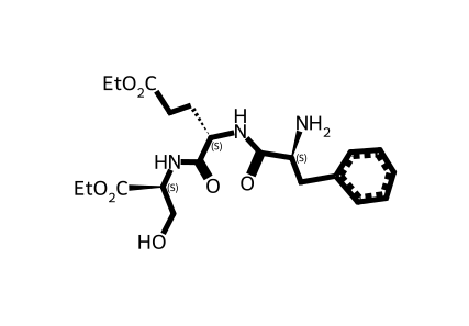 CCOC(=O)CC[C@H](NC(=O)[C@@H](N)Cc1ccccc1)C(=O)N[C@@H](CO)C(=O)OCC